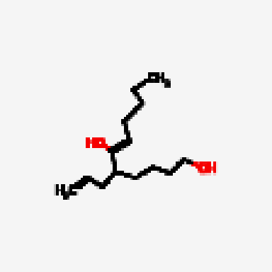 C=CCC(CCCCO)C(O)=CCCCC